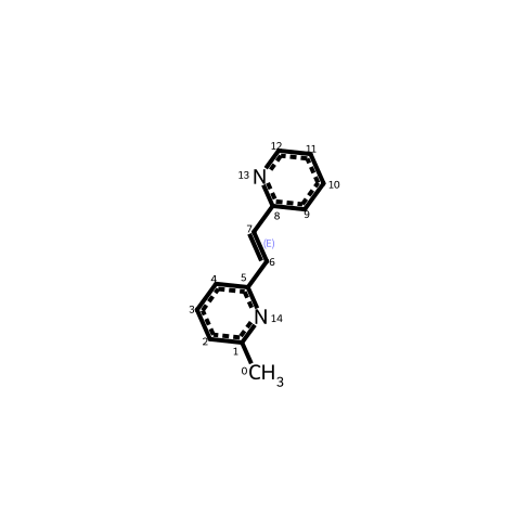 Cc1cccc(/C=C/c2ccccn2)n1